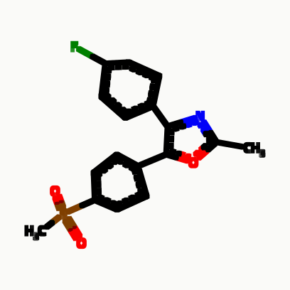 Cc1nc(-c2ccc(F)cc2)c(-c2ccc(S(C)(=O)=O)cc2)o1